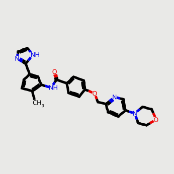 Cc1ccc(-c2ncc[nH]2)cc1NC(=O)c1ccc(OCc2ccc(N3CCOCC3)cn2)cc1